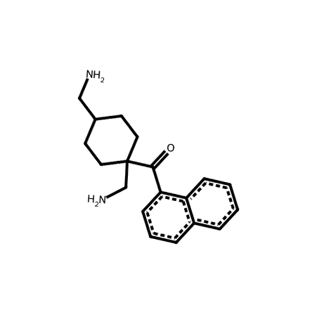 NCC1CCC(CN)(C(=O)c2cccc3ccccc23)CC1